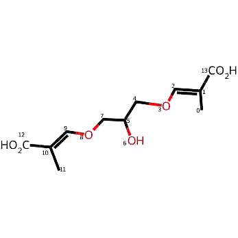 CC(=COCC(O)COC=C(C)C(=O)O)C(=O)O